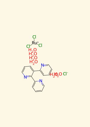 O.O.O.O.O.O.[Cl-].[Cl][Ru+]([Cl])[Cl].c1ccc(-c2cccnc2-c2ccccn2)nc1